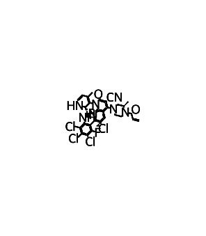 C=CC(=O)N1CCN(c2c(C#N)c(=O)n(C3=C(C)C=CNC3C(C)C)c3nc(-c4c(N)c(Cl)c(Cl)c(Cl)c4F)c(Cl)cc23)C[C@H]1C